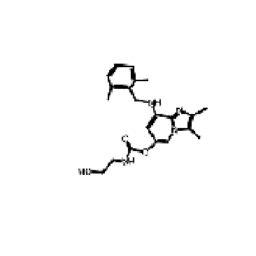 Cc1cccc(C)c1CNc1cc(OC(=O)NCCO)cn2c(C)c(C)nc12